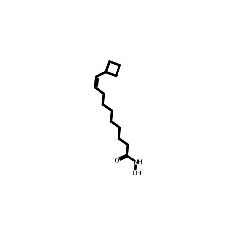 O=C(CCCCCCC/C=C\C1CCC1)NO